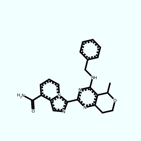 CC1OCCc2nc(-c3ncc4c(C(N)=O)cccn34)nc(NCc3ccccc3)c21